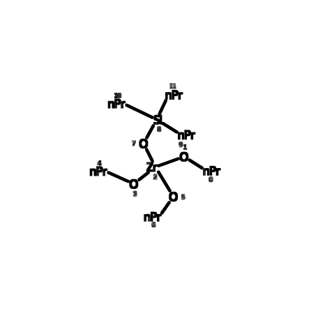 CCC[O][Zr]([O]CCC)([O]CCC)[O][Si](CCC)(CCC)CCC